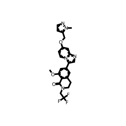 COc1cc(-c2cnc3cc(OCc4ccnn4C)ccn23)cc2c1C(=O)N(CC(F)(F)F)CC2